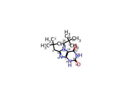 CC(C)(C)Cc1nc2[nH]c(=O)[nH]c(=O)c2n1CC(C)(C)C